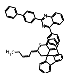 CC/C=C\C=C1/CC2(c3ccccc3S1)c1ccccc1-c1cccc(-c3ccc(-c4nc(-c5ccc(-c6ccccc6)cc5)nc5ccccc45)cc3)c12